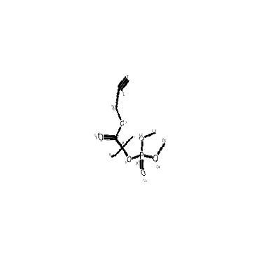 C#CCOC(=O)C(C)(C)OP(=O)(OC)OC